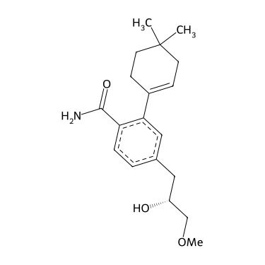 COC[C@H](O)Cc1ccc(C(N)=O)c(C2=CCC(C)(C)CC2)c1